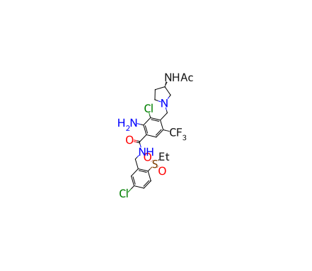 CCS(=O)(=O)c1ccc(Cl)cc1CNC(=O)c1cc(C(F)(F)F)c(CN2CC[C@@H](NC(C)=O)C2)c(Cl)c1N